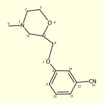 CN1CCOC(COc2cccc(C#N)c2)C1